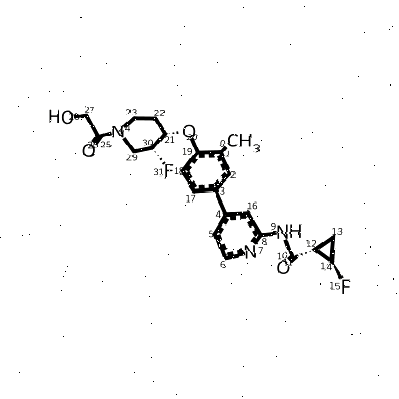 Cc1cc(-c2ccnc(NC(=O)[C@@H]3C[C@H]3F)c2)ccc1O[C@H]1CCN(C(=O)CO)C[C@H]1F